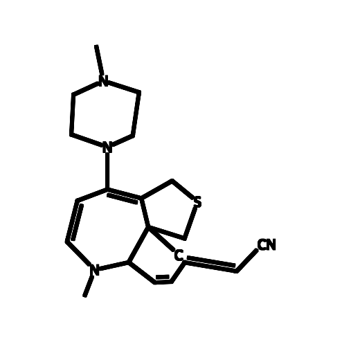 CN1CCN(C2=C3CSCC34C/C(=C\C#N)C=CC4N(C)C=C2)CC1